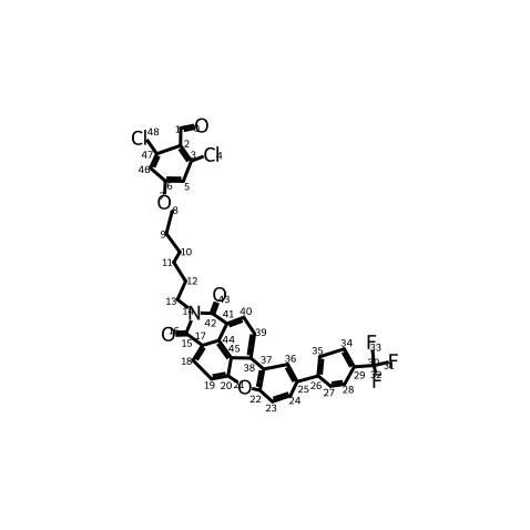 O=Cc1c(Cl)cc(OCCCCCCn2c(=O)c3ccc4oc5ccc(-c6ccc(C(F)(F)F)cc6)cc5c5ccc(c2=O)c3c45)cc1Cl